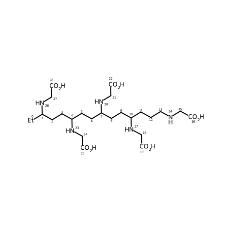 CCC(CCC(CCC(CCC(CCCNCC(=O)O)NCC(=O)O)NCC(=O)O)NCC(=O)O)NCC(=O)O